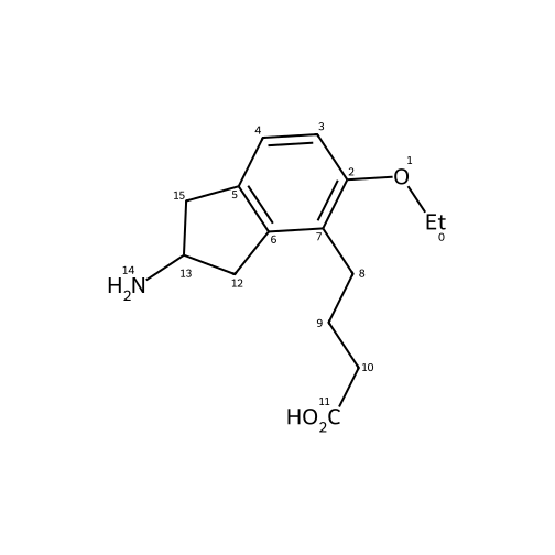 CCOc1ccc2c(c1CCCC(=O)O)CC(N)C2